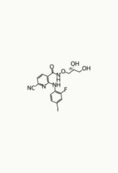 N#Cc1ccc(C(=O)NOC[C@H](O)CO)c(Nc2ccc(I)cc2F)n1